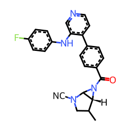 CC1CN(C#N)C2[C@@H]1N2C(=O)c1ccc(-c2ccncc2Nc2ccc(F)cc2)cc1